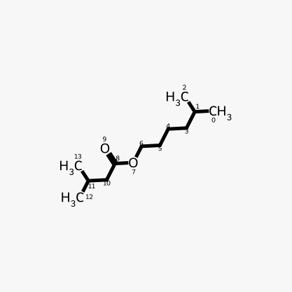 CC(C)CCCCOC(=O)CC(C)C